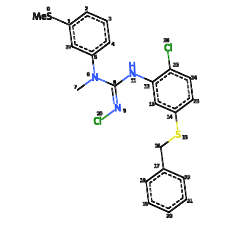 CSc1cccc(N(C)/C(=N\Cl)Nc2cc(SCc3ccccc3)ccc2Cl)c1